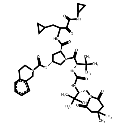 CC1(C)CC(=O)N(C[C@@H](NC(=O)N[C@H](C(=O)N2C[C@H](OC(=O)N3CCc4ccccc4C3)C[C@H]2C(=O)NC(CC2CC2)C(=O)C(=O)NC2CC2)C(C)(C)C)C(C)(C)C)C(=O)C1